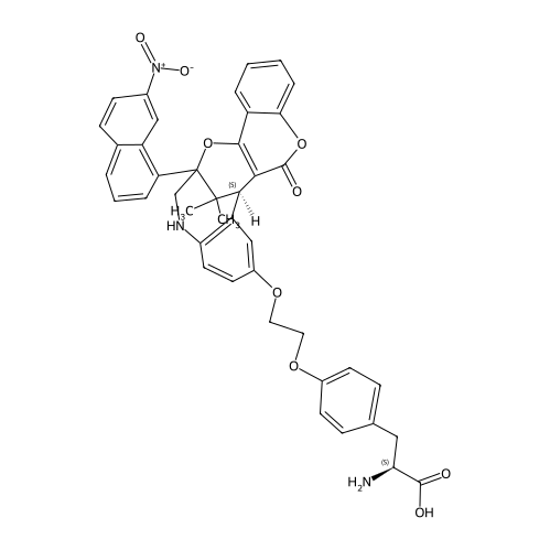 CC1(C)[C@@H]2c3cc(OCCOc4ccc(C[C@H](N)C(=O)O)cc4)ccc3NCC1(c1cccc3ccc([N+](=O)[O-])cc13)Oc1c2c(=O)oc2ccccc12